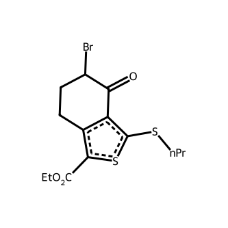 CCCSc1sc(C(=O)OCC)c2c1C(=O)C(Br)CC2